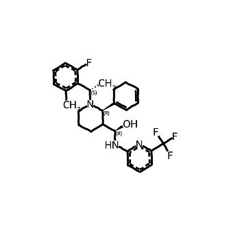 Cc1cccc(F)c1[C@H](C)N1CCCC([C@@H](O)Nc2cccc(C(F)(F)F)n2)[C@@H]1C1=CC=CCC1